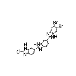 Clc1nc2ccc(-c3nc4ccc(-c5nc6cc(Br)c(Br)cc6[nH]5)cc4[nH]3)cc2[nH]1